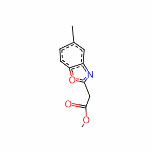 COC(=O)Cc1nc2cc(C)ccc2o1